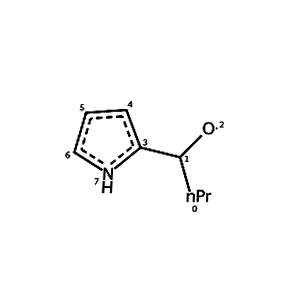 CCCC([O])c1ccc[nH]1